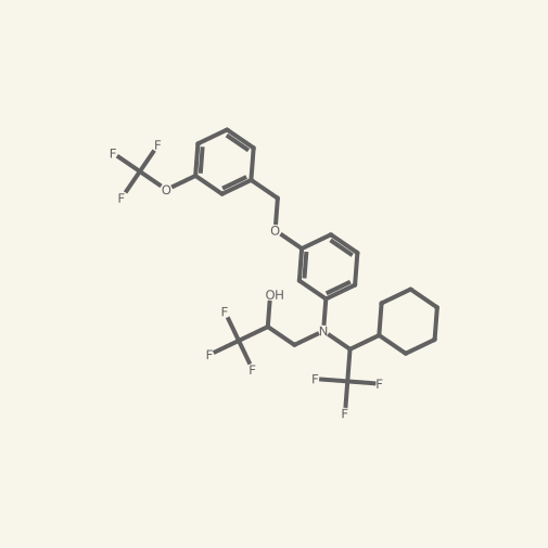 OC(CN(c1cccc(OCc2cccc(OC(F)(F)F)c2)c1)C(C1CCCCC1)C(F)(F)F)C(F)(F)F